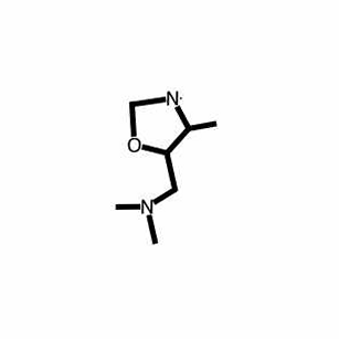 CC1[N]COC1CN(C)C